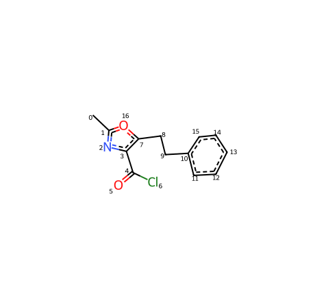 Cc1nc(C(=O)Cl)c(CCc2ccccc2)o1